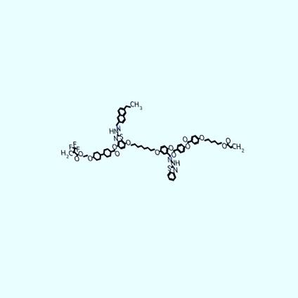 C=CC(=O)OCCCCCCOc1ccc(C(=O)Oc2ccc(C(=O)Oc3ccc(OCCCCCCCCOc4ccc(OC(=O)C5CCC(C6CCC(OCCOC(=O)C(=C)C(F)(F)F)CC6)CC5)c5nc(N/N=C/c6ccc7cc(CCC)ccc7c6)sc45)cc3/C=N/Nc3nc4ccccc4s3)cc2)cc1